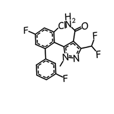 Cn1nc(C(F)F)c(C(N)=O)c1-c1c(Cl)cc(F)cc1-c1cccc(F)c1